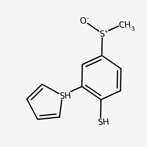 C[S+]([O-])c1ccc(S)c([SH]2C=CC=C2)c1